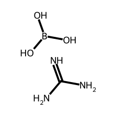 N=C(N)N.OB(O)O